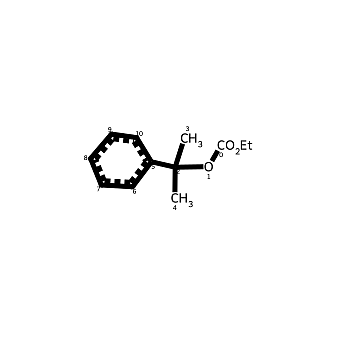 CCOC(=O)OC(C)(C)c1ccccc1